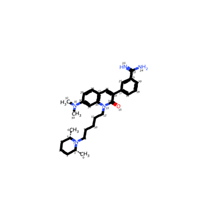 C[C@@H]1CCC[C@H](C)N1CCCCCn1c(=O)c(-c2cccc(C(=N)N)c2)cc2ccc(N(C)C)cc21